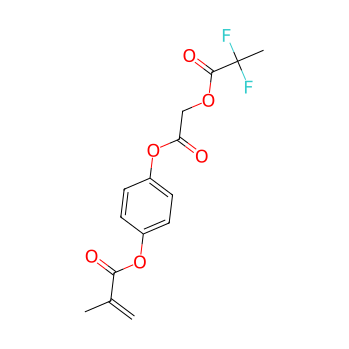 C=C(C)C(=O)Oc1ccc(OC(=O)COC(=O)C(C)(F)F)cc1